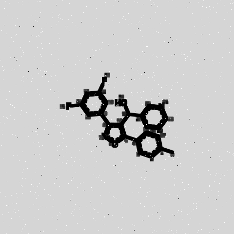 Cc1ccc(-c2onc(-c3cc(F)cc(F)c3)c2C(O)c2cccnc2)cc1